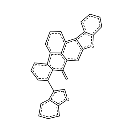 C=c1c2cc3sc4ccccc4c3c3cccc(c4cccc(-c5coc6ccccc56)c14)c23